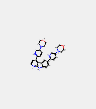 c1cc(-c2ccc(N3CCOCC3)cn2)c2c(n1)[nH]c1ccc(-c3ccc(N4CCOCC4)cn3)cc12